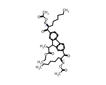 CCCCCC/C(=N\OC(C)=O)C(=O)c1ccc2c(c1)C(C(C)C(=O)OCC)c1cc(C(=O)/C(CCCCCC)=N/OC(C)=O)ccc1-2